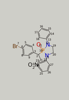 O=[N+]([O-])CC(c1ccc(Br)cc1)P1(=O)N(c2ccccc2)CCN1c1ccccc1